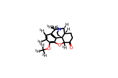 [2H]c1c([2H])c2c3c(c1OC([2H])([2H])[2H])OC1([2H])C(=O)CC[C@H]4[C@H](N(C)CC[C@@]341)C2([2H])[2H]